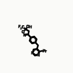 CC(C)c1ncncc1Cc1ccc(C2=NOC(O)(C(F)(F)F)C2)cc1